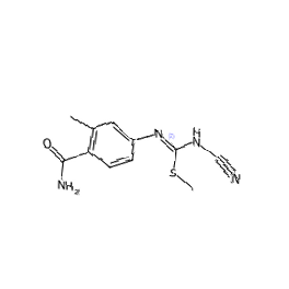 CS/C(=N\c1ccc(C(N)=O)c(C)c1)NC#N